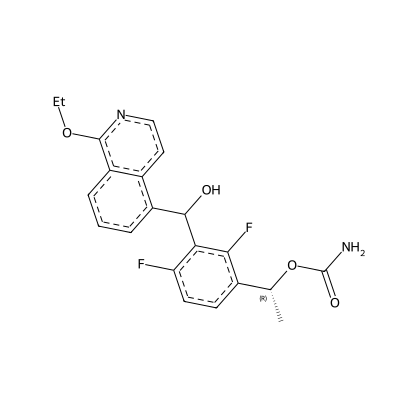 CCOc1nccc2c(C(O)c3c(F)ccc([C@@H](C)OC(N)=O)c3F)cccc12